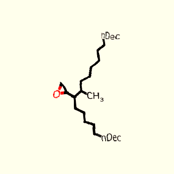 CCCCCCCCCCCCCCCCC(C)C(CCCCCCCCCCCCCCC)C1CO1